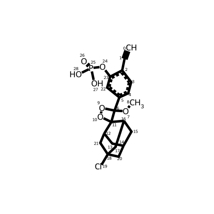 C#Cc1ccc(C2(OC)OOC23C2CC4CC3CC(Cl)(C4)C2)cc1OP(=O)(O)O